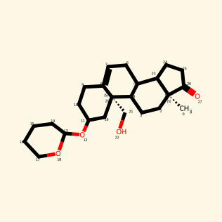 C[C@]12CCC3C(CC=C4CCC(OC5CCCCO5)C[C@@]43CO)C1CCC2=O